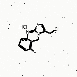 Cl.Fc1cccc2c1CN1C(CCl)=CSC1=N2